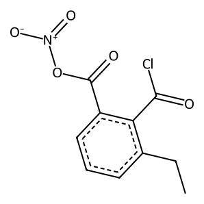 CCc1cccc(C(=O)O[N+](=O)[O-])c1C(=O)Cl